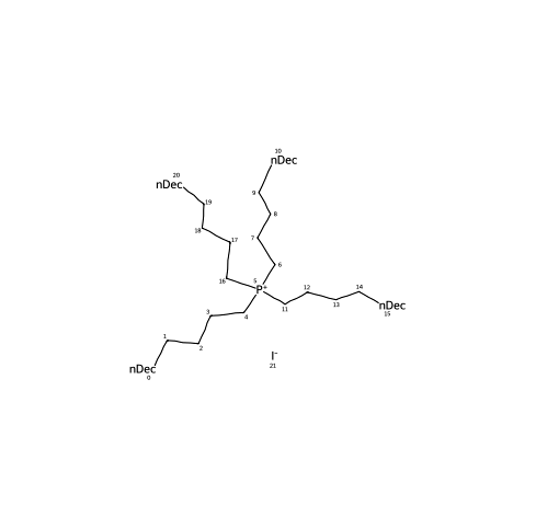 CCCCCCCCCCCCCC[P+](CCCCCCCCCCCCCC)(CCCCCCCCCCCCCC)CCCCCCCCCCCCCC.[I-]